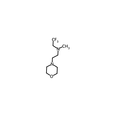 CN(CCN1CCOCC1)CC(F)(F)F